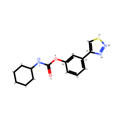 O=C(NC1CCCCC1)Oc1cccc(-c2csnn2)c1